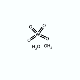 O.O.[O]=[W](=[O])(=[O])=[O]